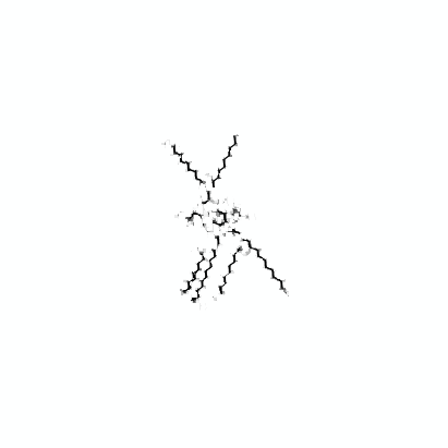 CCCCCCCCCCC[C@H](CC(=O)N[C@@H](CO[C@@H]1O[C@H](CO)[C@@H](OP(=O)(O)O)[C@H](OC(=O)C[C@@H](CCCCCCCCCCC)OC(=O)CCCCCCCCC)[C@H]1NC(=O)C[C@@H](CCCCCCCCCCC)OC(=O)CCCCCCCCC)CC(=O)O)OC(=O)CCCCCCCCC